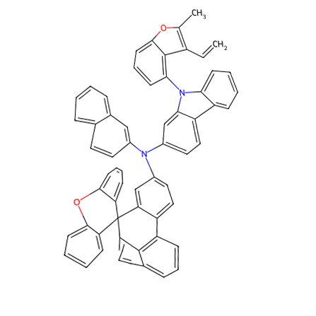 C=Cc1c(C)oc2cccc(-n3c4ccccc4c4ccc(N(c5ccc6c(c5)C5(c7ccccc7Oc7ccccc75)c5cccc7cccc-6c57)c5ccc6ccccc6c5)cc43)c12